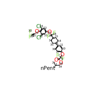 CCCCCC1COC(C(F)(F)Oc2ccc(C3CCC(C(F)(F)Oc4cc(Cl)c(OC=C(F)F)c(Cl)c4)CC3)cc2)OC1